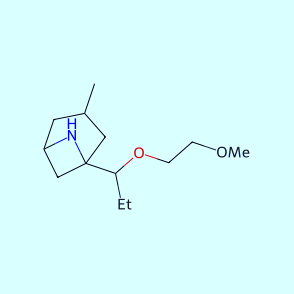 CCC(OCCOC)C12CC(C)CC(C1)N2